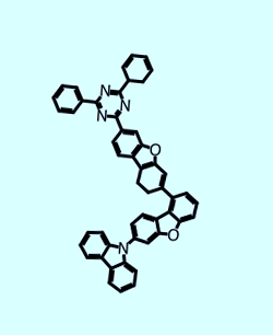 C1=CCC(c2nc(-c3ccccc3)nc(-c3ccc4c5c(oc4c3)C=C(c3cccc4oc6cc(-n7c8ccccc8c8ccccc87)ccc6c34)CC5)n2)C=C1